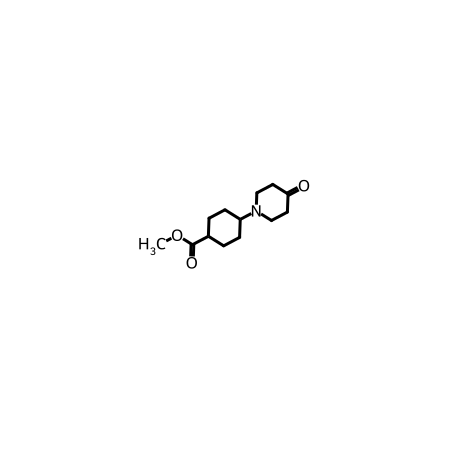 COC(=O)C1CCC(N2CCC(=O)CC2)CC1